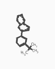 CC(C)(C)C1=CC[CH]C(c2ccc3ccccc3c2)=C1